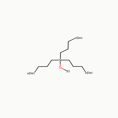 CCCCCCCCCCCCC[Si](CCCCCCCCCCCCC)(CCCCCCCCCCCCC)OCC